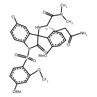 COc1ccc(S(=O)(=O)N2C(=O)C(N[C@@H](CCC(N)=O)C(=O)N(C)C)(c3ccccc3OC)c3cc(Cl)ccc32)c(OC(F)(F)F)c1